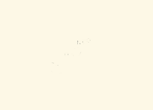 O=C=Nc1cccc(OCCC23CC4CC(CC(C4)C2)C3)c1